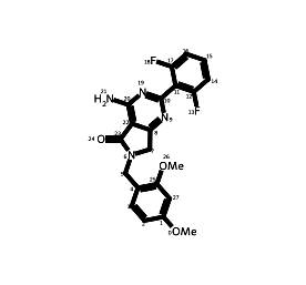 COc1ccc(CN2Cc3nc(-c4c(F)cccc4F)nc(N)c3C2=O)c(OC)c1